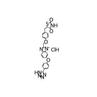 Cl.Cn1c(COc2ccc(CC3SC(=O)NC3=O)cc2)nc2ccc(Oc3ccc(-c4nnn[nH]4)cc3)cc21